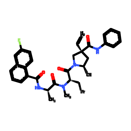 C=C[C@]1(C(=O)Nc2ccccc2)C[C@@H](C#N)N(C(=O)[C@H](CC(C)C)N(C)C(=O)[C@H](C)NC(=O)c2cccc3cc(F)ccc23)C1